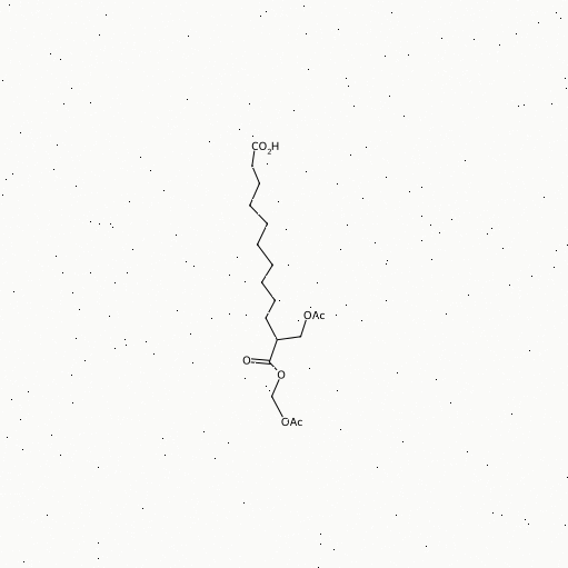 CC(=O)OCOC(=O)C(CCCCCCCCCC(=O)O)COC(C)=O